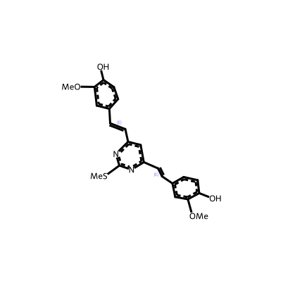 COc1cc(/C=C/c2cc(/C=C/c3ccc(O)c(OC)c3)nc(SC)n2)ccc1O